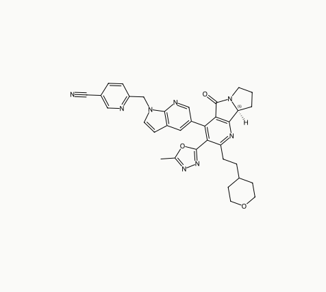 Cc1nnc(-c2c(CCC3CCOCC3)nc3c(c2-c2cnc4c(ccn4Cc4ccc(C#N)cn4)c2)C(=O)N2CCC[C@@H]32)o1